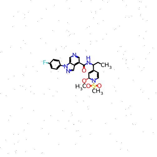 CCC(NC(=O)c1cncc2c1cnn2-c1ccc(F)cc1)C1=C[C@H](OC)N(S(C)(=O)=O)C=C1